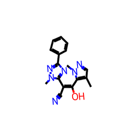 Cc1cnn(C)c1/C(O)=C(/C#N)c1nc(-c2ccccc2)nn1C